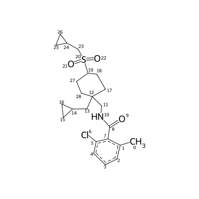 Cc1cccc(Cl)c1C(=O)NCC1(CC2CC2)CCC(S(=O)(=O)CC2CC2)CC1